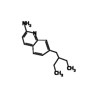 CCC(CC)Cc1ccc2ccc(N)nc2c1